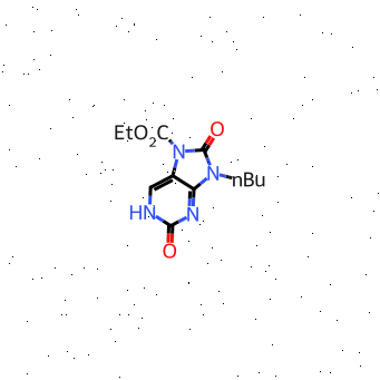 CCCCn1c(=O)n(C(=O)OCC)c2c[nH]c(=O)nc21